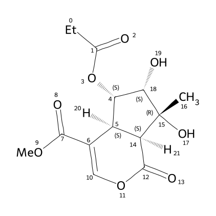 CCC(=O)O[C@H]1[C@@H]2C(C(=O)OC)=COC(=O)[C@@H]2[C@@](C)(O)[C@H]1O